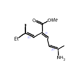 CC/C(C)=C/C(=C\C=C(/C)N)C(=O)OC